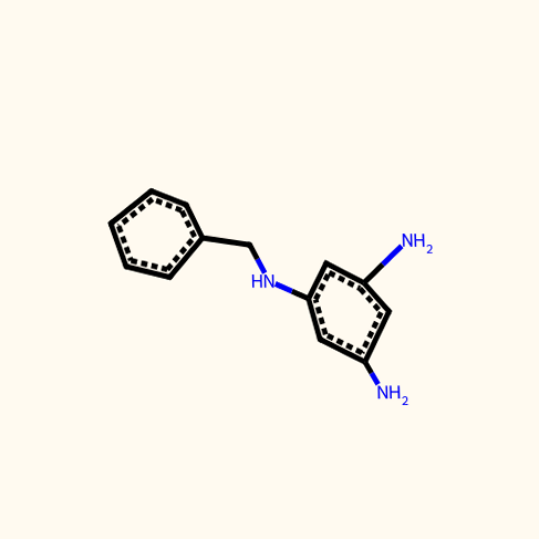 Nc1cc(N)cc(NCc2ccccc2)c1